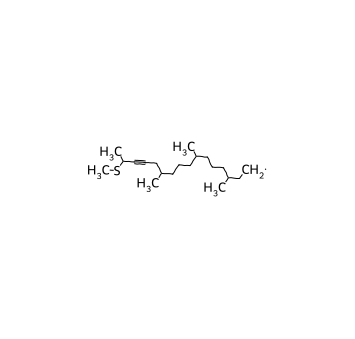 [CH2]CC(C)CCCC(C)CCCC(C)CC#CC(C)SC